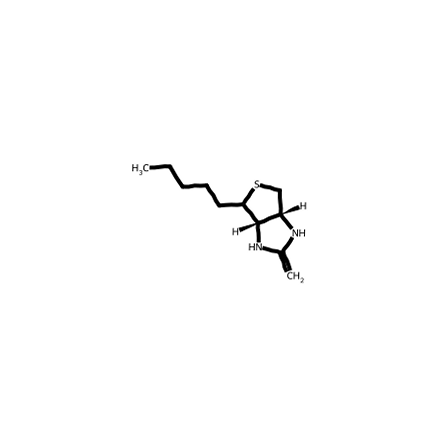 C=C1N[C@H]2CSC(CCCCC)[C@H]2N1